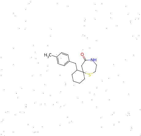 Cc1ccc(CC2CCCCC23CC(=O)NCCS3)cc1